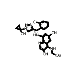 CC(C)(C)CNc1c(C#N)cnc2c(N[C@H](c3cn(C4(C#N)CC4)nn3)c3ccccc3Cl)cc(C#N)cc12